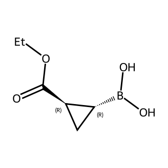 CCOC(=O)[C@@H]1C[C@H]1B(O)O